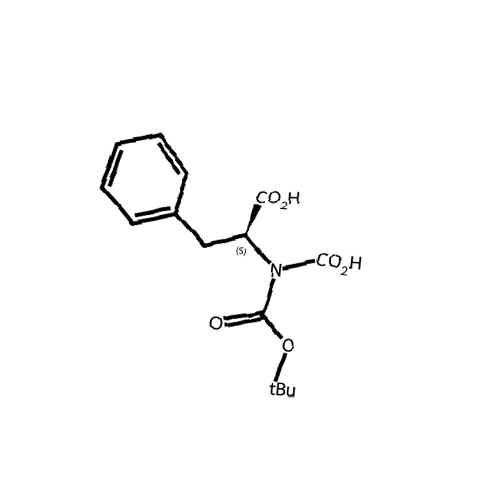 CC(C)(C)OC(=O)N(C(=O)O)[C@@H](Cc1ccccc1)C(=O)O